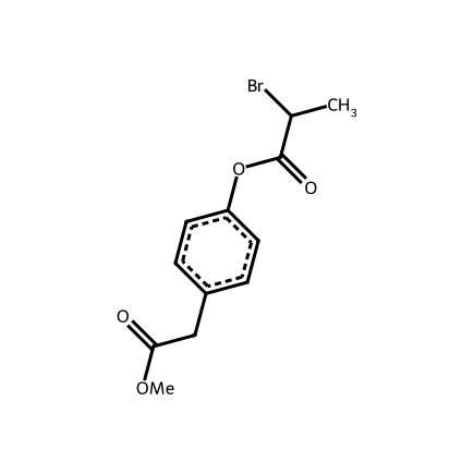 COC(=O)Cc1ccc(OC(=O)C(C)Br)cc1